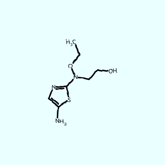 CCON(CCO)c1ncc(N)s1